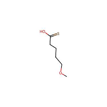 COCCCCC(O)=S